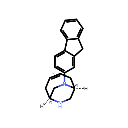 C1=C\C[C@H]2CN[C@@H](C/1)CN2c1ccc2c(c1)Cc1ccccc1-2